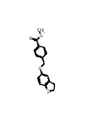 COC(=O)c1ccc(COc2ccc3c(c2)CCO3)cc1